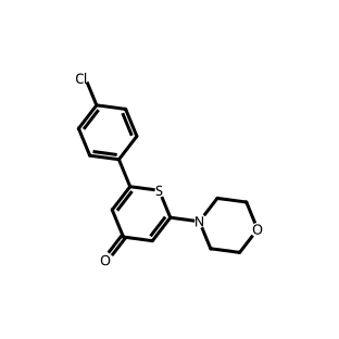 O=c1cc(-c2ccc(Cl)cc2)sc(N2CCOCC2)c1